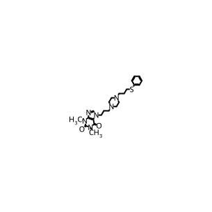 Cn1c(=O)c2c(ncn2CCCN2CCN(CCCSc3ccccc3)CC2)n(C)c1=O